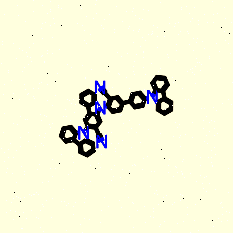 N#Cc1cc(-c2ccc(-n3c4ccccc4c4ccccc43)cc2)ccc1-n1c2ccccc2c2cc(-n3c4ccccc4c4ccccc43)c(C#N)cc21